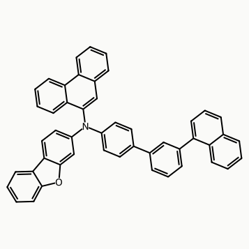 c1cc(-c2ccc(N(c3ccc4c(c3)oc3ccccc34)c3cc4ccccc4c4ccccc34)cc2)cc(-c2cccc3ccccc23)c1